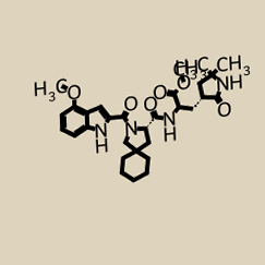 COC(=O)C(C[C@@H]1CC(C)(C)NC1=O)NC(=O)[C@@H]1CC2(CCCCC2)CN1C(=O)c1cc2c(OC)cccc2[nH]1